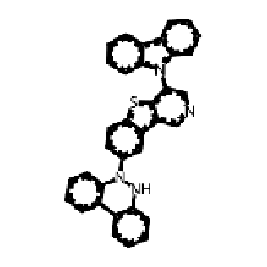 c1ccc2c(c1)NN(c1ccc3sc4c(-n5c6ccccc6c6ccccc65)cncc4c3c1)c1ccccc1-2